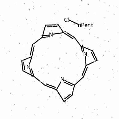 C1=CC2=NC1=CC1=NC(=CC3=NC(=CC4=NC(=C2)C=C4)C=C3)C=C1.CCCCCCl